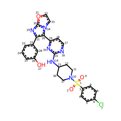 O=S(=O)(c1ccc(Cl)cc1)N1CCC(Nc2nccc(-c3c(-c4cccc(O)c4)nc4occn34)n2)CC1